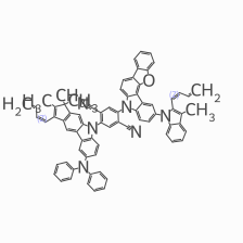 C=C/C=C\C1=C(C)C(C)(C)c2cc3c(cc21)c1cc(N(c2ccccc2)c2ccccc2)ccc1n3-c1cc(C#N)c(-n2c3ccc(-n4c(/C=C\C=C)c(C)c5ccccc54)cc3c3c4oc5ccccc5c4ccc32)cc1C#N